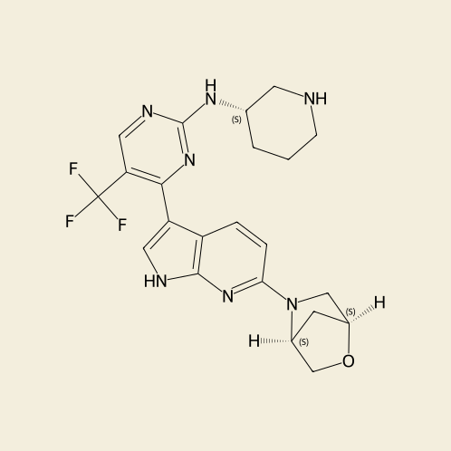 FC(F)(F)c1cnc(N[C@H]2CCCNC2)nc1-c1c[nH]c2nc(N3C[C@@H]4C[C@H]3CO4)ccc12